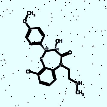 CNCCN1C(=O)[C@@H](O)[C@@H](c2ccc(OC)cc2)Sc2c(Cl)cccc21